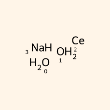 O.O.[Ce].[NaH]